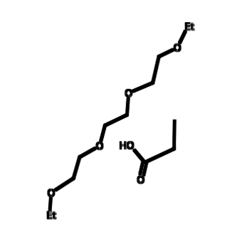 CCC(=O)O.CCOCCOCCOCCOCC